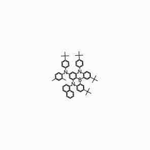 Cc1ccc(N(c2ccc(C(C)(C)C)cc2)c2cc3c4c(c2)N(c2cccc5ccccc25)c2ccc(C(C)(C)C)cc2B4c2cc(C(C)(C)C)ccc2N3c2ccc(C(C)(C)C)cc2)c(C)c1